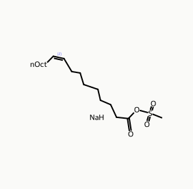 CCCCCCCC/C=C\CCCCCCCC(=O)OS(C)(=O)=O.[NaH]